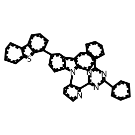 c1ccc(-c2nc(-c3ccccc3)nc(-c3ncccc3-n3c4ccccc4c4cc(-c5cccc6c5sc5ccccc56)ccc43)n2)cc1